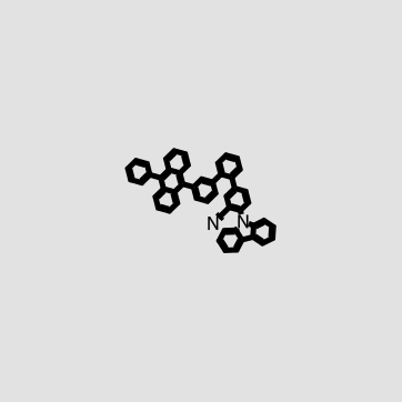 N#Cc1cc(-c2ccccc2-c2cccc(-c3c4ccccc4c(-c4ccccc4)c4ccccc34)c2)ccc1-n1c2ccccc2c2ccccc21